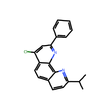 CC(C)c1ccc2ccc3c(Cl)cc(-c4ccccc4)nc3c2n1